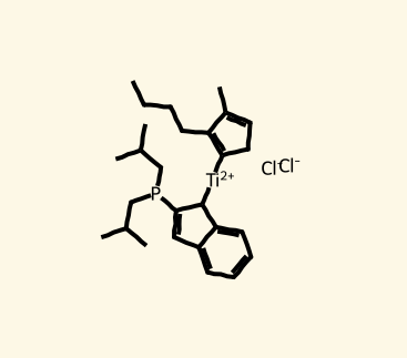 CCCCC1=[C]([Ti+2][CH]2C(P(CC(C)C)CC(C)C)=Cc3ccccc32)CC=C1C.[Cl-].[Cl-]